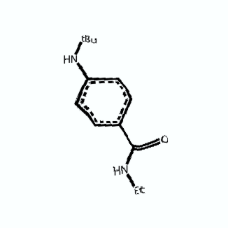 CCNC(=O)c1ccc(NC(C)(C)C)cc1